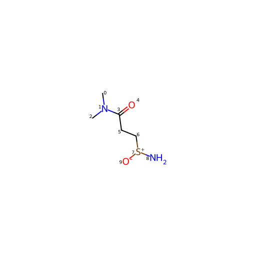 CN(C)C(=O)CC[S+](N)[O-]